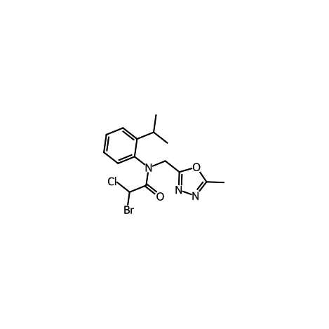 Cc1nnc(CN(C(=O)C(Cl)Br)c2ccccc2C(C)C)o1